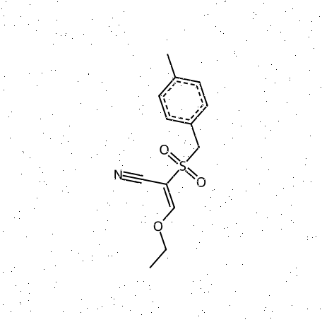 CCOC=C(C#N)S(=O)(=O)Cc1ccc(C)cc1